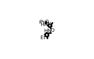 CCc1ccc(C(C)NC(=O)c2cc(C)nc(NC(=O)C(C)C)c2)cc1C